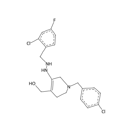 OCC1=C(NNCc2ccc(F)cc2Cl)CN(Cc2ccc(Cl)cc2)CC1